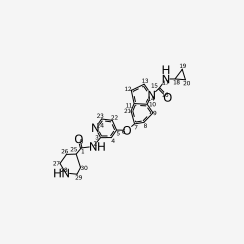 O=C(Nc1cc(Oc2ccc3c(ccn3C(=O)NC3CC3)c2)ccn1)C1CCNCC1